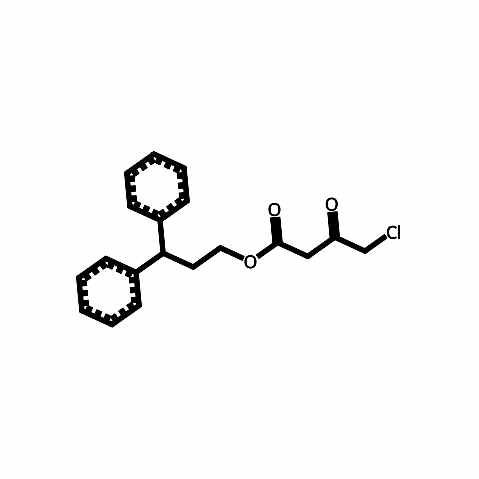 O=C(CCl)CC(=O)OCCC(c1ccccc1)c1ccccc1